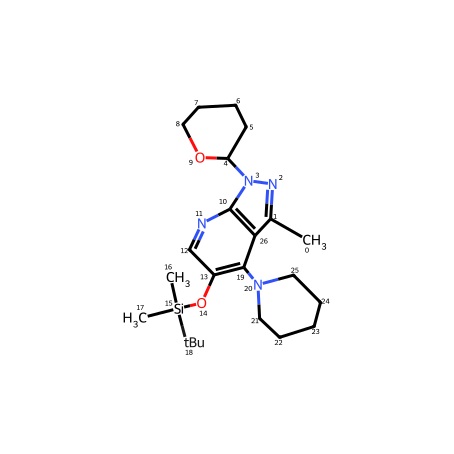 Cc1nn(C2CCCCO2)c2ncc(O[Si](C)(C)C(C)(C)C)c(N3CCCCC3)c12